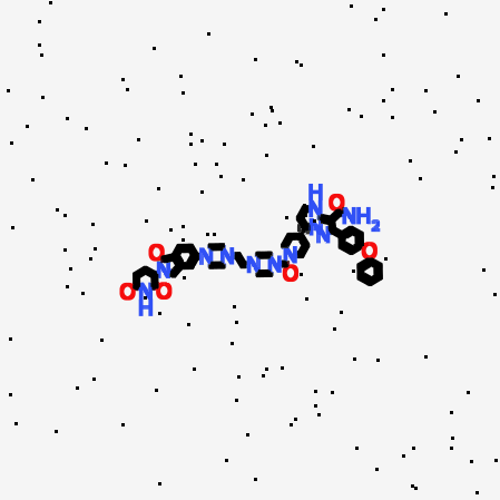 NC(=O)c1c(-c2ccc(Oc3ccccc3)cc2)nn2c1NCC[C@H]2C1CCN(C(=O)N2CCN(CCN3CCN(c4ccc5c(c4)CN(C4CCC(=O)NC4=O)C5=O)CC3)CC2)CC1